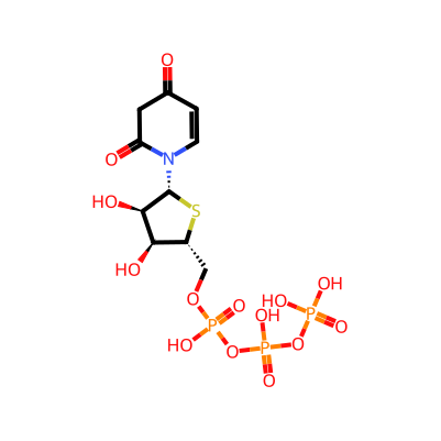 O=C1C=CN([C@@H]2S[C@H](COP(=O)(O)OP(=O)(O)OP(=O)(O)O)[C@@H](O)[C@H]2O)C(=O)C1